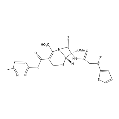 CO[C@@]1(NC(=O)C[S+]([O-])c2cccs2)C(=O)N2C(C(=O)O)=C(C(=O)Sc3ccc(C)nn3)CS[C@H]21